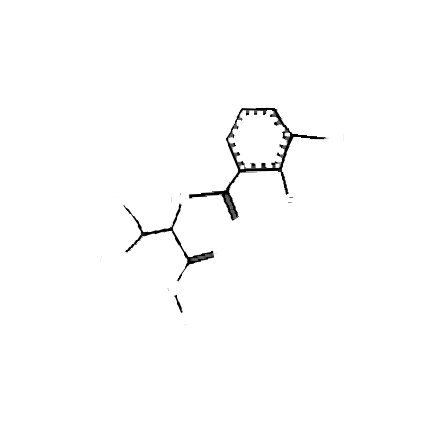 COC(=O)C(NC(=O)c1cccc(C)c1F)C(C)C